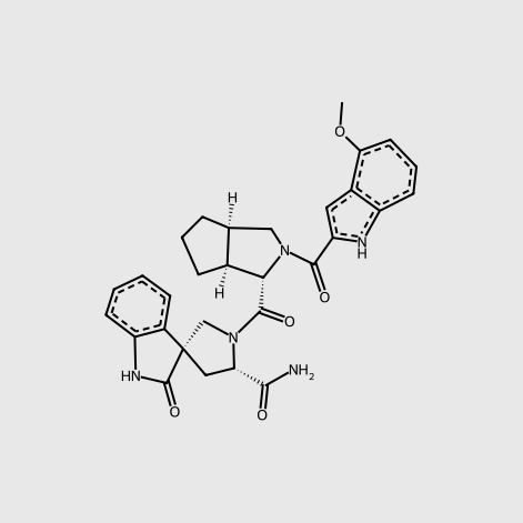 COc1cccc2[nH]c(C(=O)N3C[C@@H]4CCC[C@@H]4[C@H]3C(=O)N3C[C@]4(C[C@H]3C(N)=O)C(=O)Nc3ccccc34)cc12